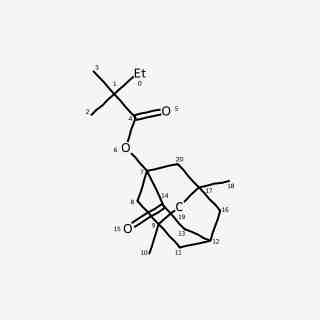 CCC(C)(C)C(=O)OC12CC3(C)CC(CC1=O)CC(C)(C3)C2